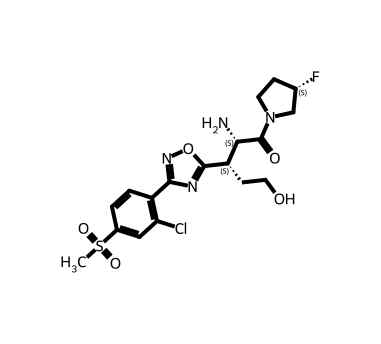 CS(=O)(=O)c1ccc(-c2noc([C@@H](CCO)[C@H](N)C(=O)N3CC[C@H](F)C3)n2)c(Cl)c1